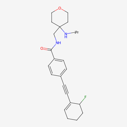 CC(C)NC1(CNC(=O)c2ccc(C#CC3=CCCCC3F)cc2)CCOCC1